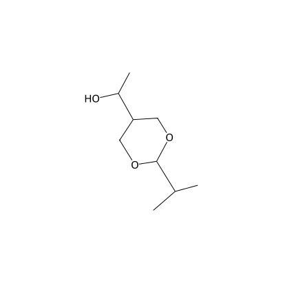 CC(C)C1OCC(C(C)O)CO1